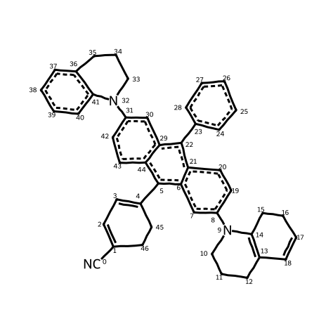 N#CC1=CC=C(c2c3cc(N4CCCC5=C4CCC=C5)ccc3c(-c3ccccc3)c3cc(N4CCCc5ccccc54)ccc23)CC1